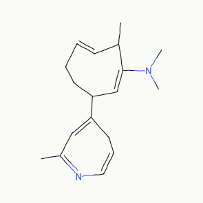 CC1=NC=CCC(C2/C=C(/N(C)C)C(C)/C=C/CC2)=C1